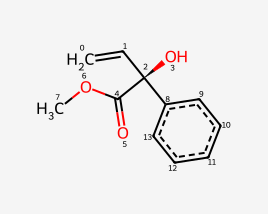 C=C[C@@](O)(C(=O)OC)c1ccccc1